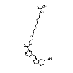 N#Cc1ccc2ccn(Cc3cc(C(=O)NCCOCCOCCOCCNC(=O)O)ccn3)c2c1